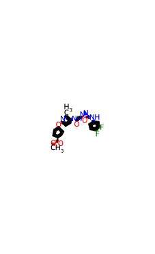 COC(=O)[C@H]1CC[C@@H](Oc2ccc(NC(=O)c3nnc(Nc4ccc(F)c(F)c4)o3)c(C)n2)CC1